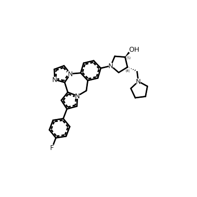 O[C@@H]1CN(c2ccc3c(c2)Cn2cc(-c4ccc(F)cc4)cc2-c2nccn2-3)C[C@H]1CN1CCCC1